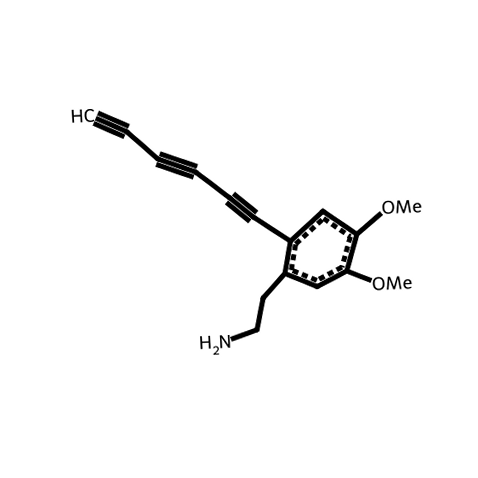 C#CC#CC#Cc1cc(OC)c(OC)cc1CCN